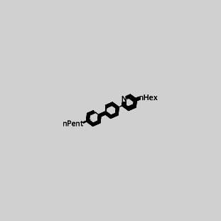 CCCCCCc1ccc([C@H]2CC[C@H]([C@H]3CC[C@H](CCCCC)CC3)CC2)nc1